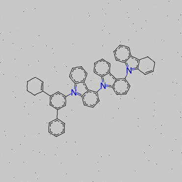 C1=Cc2c(c3ccccc3n2-c2cccc3c2c2ccccc2n3-c2cccc3c2c2ccccc2n3-c2cc(C3=CCCCC3)cc(-c3ccccc3)c2)CC1